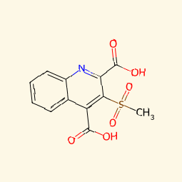 CS(=O)(=O)c1c(C(=O)O)nc2ccccc2c1C(=O)O